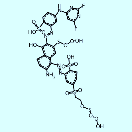 Nc1ccc2c(O)c(/N=N/c3cc(Nc4cc(F)nc(F)n4)ccc3S(=O)(=O)O)c(SOOO)cc2c1/N=N/c1cc(S(=O)(=O)CCOSOOO)ccc1S(=O)(=O)O